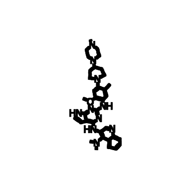 COc1cc(N2CCC(N3CCN(C)CC3)CC2)c(C)cc1Nc1nc(Nc2cnc3ccccc3c2N(C)C)c2cc[nH]c2n1